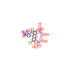 Nc1c([N+](=O)[O-])ccc(-c2c3cc(Cl)c(=O)c(CN(CC(=O)O)CC(=O)O)c-3oc3c(CN(CC(=O)O)CC(=O)O)c(O)c(Cl)cc23)c1C(=O)O